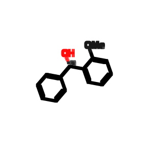 COc1ccccc1[C@@H](O)c1ccccc1